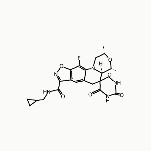 C[C@H]1CN2c3c(cc4c(C(=O)NCC5CC5)noc4c3F)CC3(C(=O)NC(=O)NC3=O)[C@@H]2[C@@H](C)O1